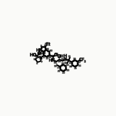 CCc1c[nH]c2c(N3CCCS3(O)O)cc(C(=O)N[C@@H](Cc3ccccc3)[C@H](O)CNC(C)(C)c3cccc(C(F)(F)F)c3)cc12